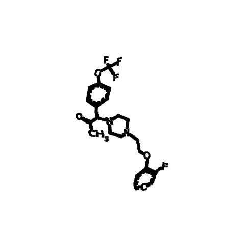 CC(=O)C(c1ccc(OC(F)(F)F)cc1)N1CCN(CCOc2ccccc2F)CC1